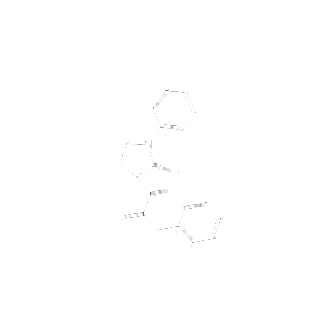 C=C(Cc1ccccc1)C(=O)[C@@]1(O)CCN(c2ccccc2)C1=O